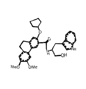 COc1cc2c(cc1OC)-c1cc(C(=O)NC(CO)Cc3c[nH]c4ccccc34)c(OC3CCCC3)cc1CC2